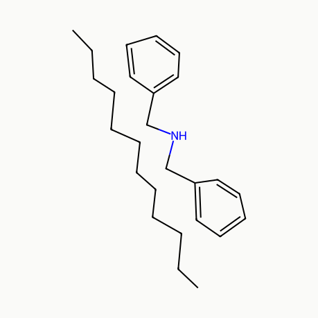 CCCCCCCCCCCC.c1ccc(CNCc2ccccc2)cc1